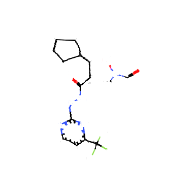 O=CN(O)C[C@@H](CC1CCCC1)C(=O)NNc1nccc(C(F)(F)F)n1